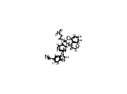 CN(C)CCn1c(=O)n([C@@H]2CCOc3ccccc32)c2nc(-n3cnc4ccc(C#N)cc43)ncc21